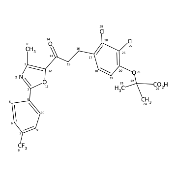 Cc1nc(-c2ccc(C(F)(F)F)cc2)oc1C(=O)CCc1ccc(OC(C)(C)C(=O)O)c(Cl)c1Cl